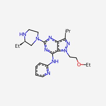 CCOCCn1nc(C(C)C)c2nc(N3CCN[C@H](CC)C3)nc(Nc3ccccn3)c21